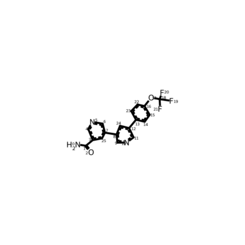 NC(=O)c1cncc(-c2cncc(-c3ccc(OC(F)(F)F)cc3)c2)c1